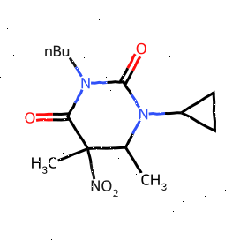 CCCCN1C(=O)N(C2CC2)C(C)C(C)([N+](=O)[O-])C1=O